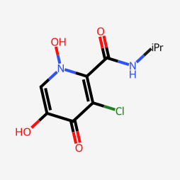 CC(C)NC(=O)c1c(Cl)c(=O)c(O)cn1O